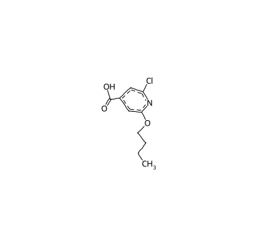 CCCCOc1cc(C(=O)O)cc(Cl)n1